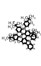 CC(C)(C)c1ccc(N2c3cc(C(C)(C)C)ccc3B3c4c(cc(C(C)(C)C)cc42)-c2c4c(cc5c6ccccc6n(-c6ccccc6)c25)Oc2cc(C(C)(C)C)ccc2N34)cc1